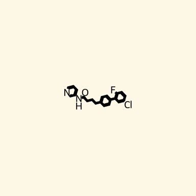 O=C(CCCc1ccc(-c2cc(Cl)ccc2F)cc1)Nc1cccnc1